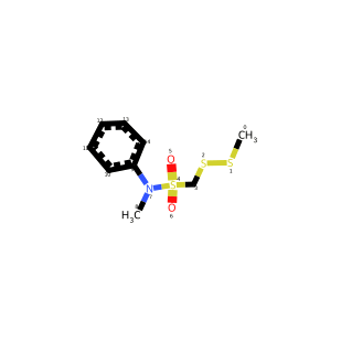 CSSCS(=O)(=O)N(C)c1ccccc1